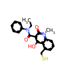 CCN(C(=O)c1c(O)c2c(CS)cccc2n(C)c1=O)c1ccccc1